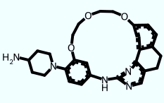 NC1CCN(c2ccc3cc2OCCOCCOc2ccc4c(c2)-c2nc(ncc2CC4)N3)CC1